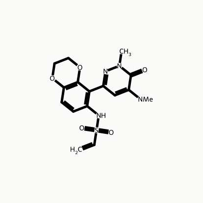 C=CS(=O)(=O)Nc1ccc2c(c1-c1cc(NC)c(=O)n(C)n1)OCCO2